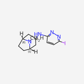 O=C(O)N1[C@@H]2CC[C@H]1C[C@H](Nc1ccc(I)nn1)C2